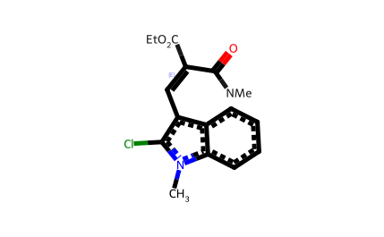 CCOC(=O)/C(=C/c1c(Cl)n(C)c2ccccc12)C(=O)NC